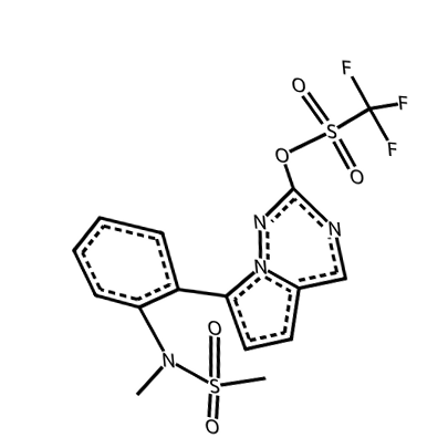 CN(c1ccccc1-c1ccc2cnc(OS(=O)(=O)C(F)(F)F)nn12)S(C)(=O)=O